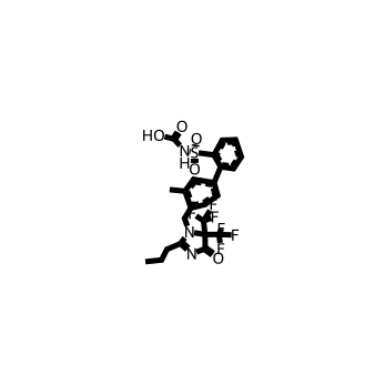 CCCC1=NC(=O)C(C(F)(F)F)(C(F)(F)F)N1Cc1ccc(-c2ccccc2S(=O)(=O)NC(=O)O)cc1C